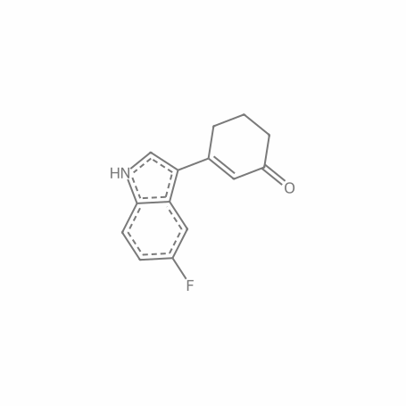 O=C1C=C(c2c[nH]c3ccc(F)cc23)CCC1